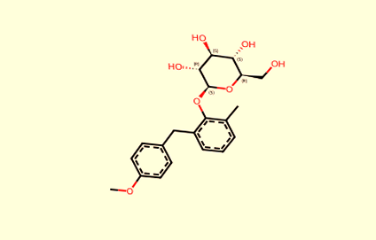 COc1ccc(Cc2cccc(C)c2O[C@@H]2O[C@H](CO)[C@@H](O)[C@H](O)[C@H]2O)cc1